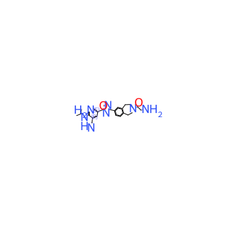 C=C(NC(C)C)/C(C#N)=C\C(=C/N)c1nc(-c2ccc3c(c2)CCN(C(=O)CN)CC3)no1